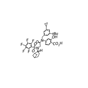 CC(C)(C)c1cc(CN(C(=O)CN([C@@H]2CCC3CC2C3)S(=O)(=O)c2c(F)c(F)c(F)c(F)c2F)c2ccc(C(=O)O)c(O)c2)cc(C2CC2)c1